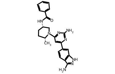 C[C@@H]1CC[C@H](NC(=O)c2ccccc2)CN1c1cc(-c2ccc3c(N)n[nH]c3c2)nc(N)n1